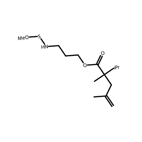 C=C(C)CC(C)(C(=O)OCCCNSOC)C(C)C